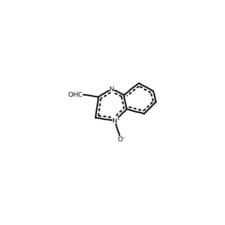 O=Cc1c[n+]([O-])c2ccccc2n1